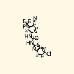 N#Cc1ccc(NC(=O)Nc2nc3ccc(Cl)nc3s2)cc1C(F)(F)F